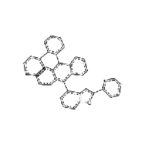 c1ccc(-c2cc3c(-c4c5ccccc5c(-c5ccccc5-c5ccccc5)c5ccccc45)cccc3o2)cc1